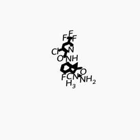 C[C@]1(c2cc(NC(=O)c3ncc(C(F)(F)F)cc3Cl)ccc2F)N=C(N)OCC12CC2